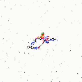 Cc1ncsc1-c1ccc([C@H](C)NC(=O)[C@@H]2C[C@@H](O)CN2C(=O)[C@@H](NC(=O)CCCCCCC(=O)N2CCN(C[C@]3(C)CCC(c4ccc(Cl)cc4)=C(CN4CCN(c5ccc(C(=O)N[S+]([O-])c6ccc(N[C@H](CCN7CCOCC7)CSc7ccccc7)c(S(=O)(=O)C(F)(F)F)c6)cc5)CC4)C3)CC2)C(C)(C)C)cc1